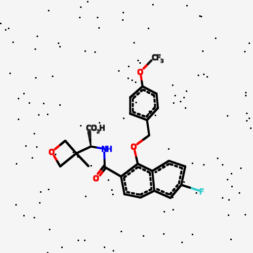 CC1([C@H](NC(=O)c2ccc3cc(F)ccc3c2OCc2ccc(OC(F)(F)F)cc2)C(=O)O)COC1